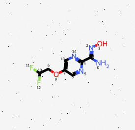 N/C(=N\O)c1ncc(OCC(F)F)cn1